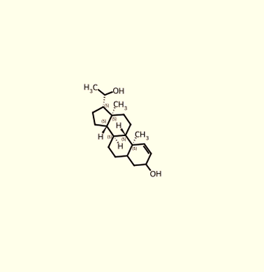 CC(O)[C@H]1CC[C@H]2[C@@H]3CCC4CC(O)C=C[C@]4(C)[C@H]3CC[C@]12C